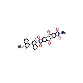 Cc1cc(-c2cc(C)c(C(C)(C)C)c3ccccc23)c2ccccc2c1N1C(=O)c2cc3c(cc2C1=O)C1CC(C3=O)c2cc3c(cc2C1=O)C(=O)N(C(C)(C)C)C3=O